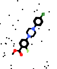 COC(=O)c1ccc(N2CCN(c3ccc(Cl)cc3)CC2)cc1F